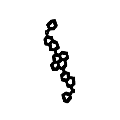 c1ccc(Oc2ccc3cc(-c4cc5cccc6c(-c7ccc8cc(Oc9ccccc9)ccc8c7)cc7cccc4c7c56)ccc3c2)cc1